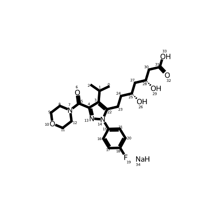 CC(C)c1c(C(=O)N2CCOCC2)nn(-c2ccc(F)cc2)c1CC[C@@H](O)C[C@@H](O)CC(=O)O.[NaH]